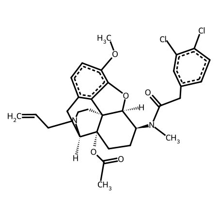 C=CCN1CC[C@]23c4c5ccc(OC)c4O[C@H]2[C@@H](N(C)C(=O)Cc2ccc(Cl)c(Cl)c2)CC[C@@]3(OC(C)=O)[C@H]1C5